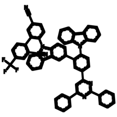 N#Cc1ccc(-n2c3ccccc3c3cc(-c4cc(-c5cc(-c6ccccc6)nc(-c6ccccc6)n5)ccc4-n4c5ccccc5c5ccccc54)ccc32)c(-c2ccc(C(F)(F)F)cc2C#N)c1